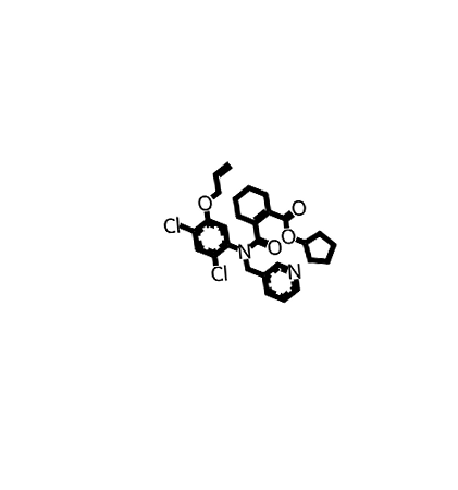 C=CCOc1cc(N(Cc2cccnc2)C(=O)C2=C(C(=O)OC3CCCC3)CCCC2)c(Cl)cc1Cl